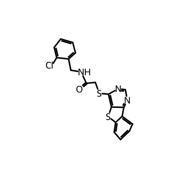 O=C(CSc1ncnc2c1sc1ccccc12)NCc1ccccc1Cl